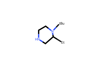 CCC1CNCCN1C(C)(C)C